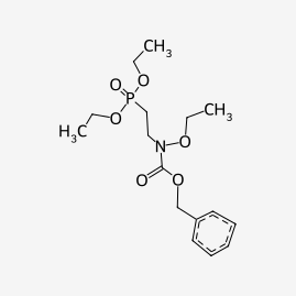 CCON(CCP(=O)(OCC)OCC)C(=O)OCc1ccccc1